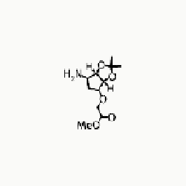 COC(=O)COC1CC(N)[C@@H]2OC(C)(C)O[C@H]12